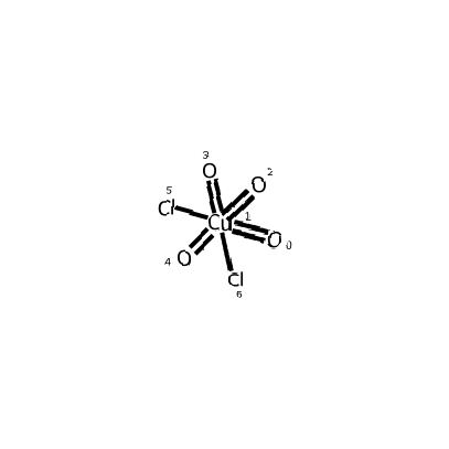 [O]=[Cu](=[O])(=[O])(=[O])([Cl])[Cl]